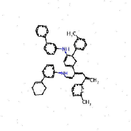 C=C(/C=C(\C=C/Nc1cccc(C2=CCCCC2)c1)C1=CC=C(Nc2cccc(-c3ccccc3)c2)C(c2cccc(C)c2)C1)c1cccc(C)c1